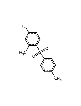 Cc1ccc(S(=O)(=O)c2ccc(O)cc2C)cc1